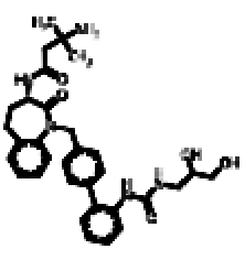 CC(C)(N)CC(=O)N[C@@H]1CCc2ccccc2N(Cc2ccc(-c3ccccc3NC(=O)NCC(O)CO)cc2)C1=O